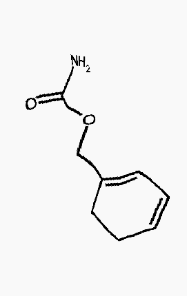 NC(=O)OCC1=CC=CCC1